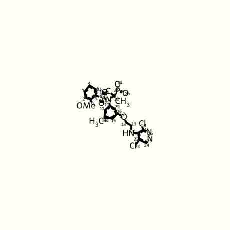 COc1ccccc1S(=O)(=O)N(c1cc(C)cc(OCCNc2c(Cl)cnnc2Cl)c1)C(C)(C)P(=O)=O